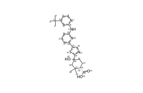 CC(C)(C)c1ccnc(Nc2cccc(-c3cnc([C@@]4(O)CC[C@H](C(=O)O)C(C)(C)C4)s3)n2)c1